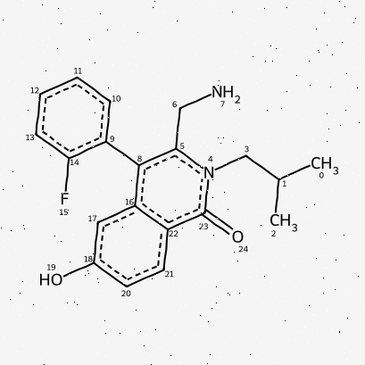 CC(C)Cn1c(CN)c(-c2ccccc2F)c2cc(O)ccc2c1=O